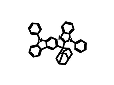 c1ccc(-n2c(C3(c4ccc5c(c4)c4ccccc4n5-c4ccccc4)C4CC5CC(C4)CC3C5)nc3ccccc32)cc1